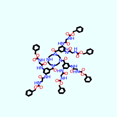 O=C(CNC(=O)OCc1ccccc1)Nc1cc(NC(=O)CNC(=O)OCc2ccccc2)cc(C(=O)N2CCNCCN(C(=O)c3cc(NC(=O)CNC(=O)OCc4ccccc4)cc(NC(=O)CNC(=O)OCc4ccccc4)c3)CCN(C(=O)c3cc(NC(=O)CNC(=O)OCc4ccccc4)cc(NC(=O)CNC(=O)OCc4ccccc4)c3)CC2)c1